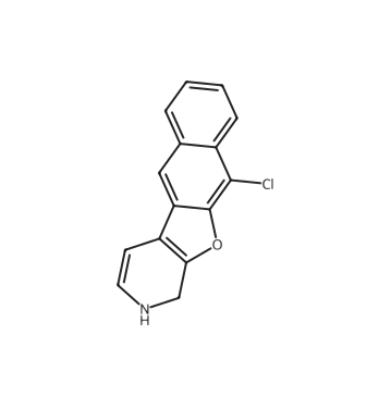 Clc1c2ccccc2cc2c3c(oc12)CNC=C3